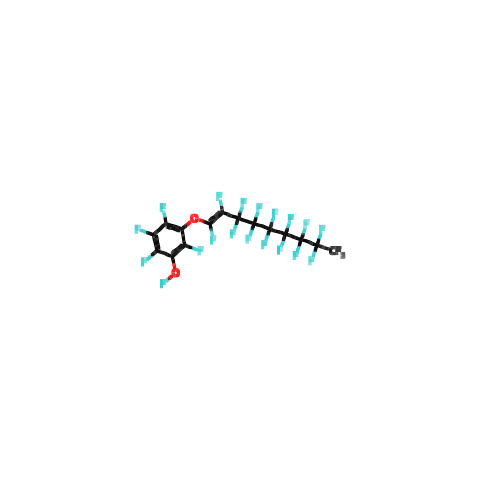 FOc1c(F)c(F)c(F)c(OC(F)=C(F)C(F)(F)C(F)(F)C(F)(F)C(F)(F)C(F)(F)C(F)(F)C(F)(F)F)c1F